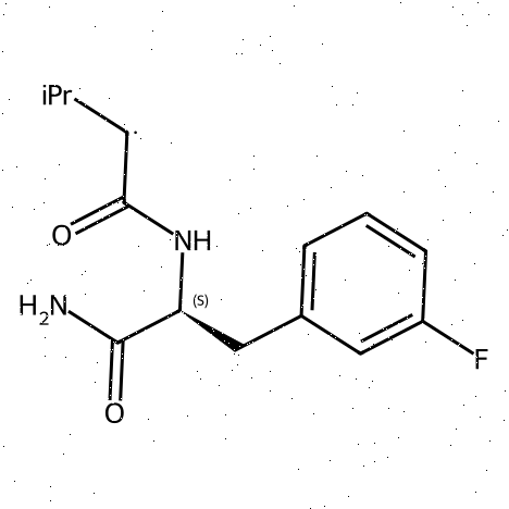 CC(C)[CH]C(=O)N[C@@H](Cc1cccc(F)c1)C(N)=O